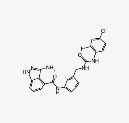 Nc1n[nH]c2cccc(C(=O)Nc3cccc(CNC(=O)Nc4ccc(Cl)cc4F)c3)c12